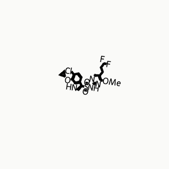 COc1nc(NS(=O)(=O)c2c[nH]c3c(OC4CC4)c(Cl)ccc23)ncc1CCC(F)F